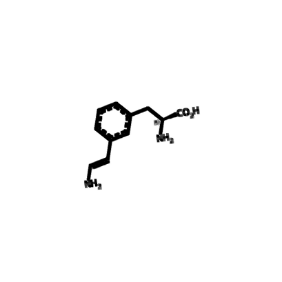 NC=Cc1cccc(C[C@H](N)C(=O)O)c1